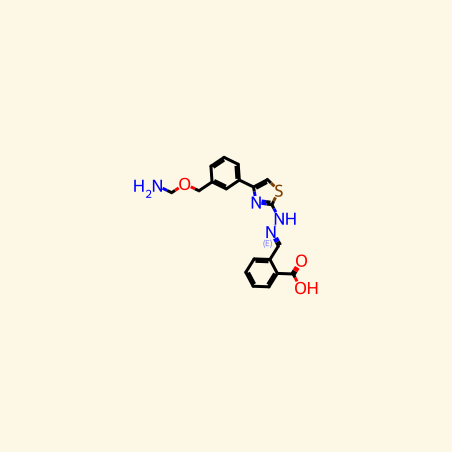 NCOCc1cccc(-c2csc(N/N=C/c3ccccc3C(=O)O)n2)c1